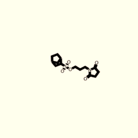 O=C1CCC(=O)N1CCCOS(=O)(=O)C1CC2CCC1C2